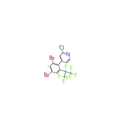 FC(F)(F)C(F)(c1cc(Br)[c]c(Br)c1-c1ccnc(Cl)c1)C(F)(F)F